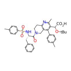 Cc1ccc(-c2c3c(nc(C)c2C(OC(C)(C)C)C(=O)O)CCN(C(=O)[C@H](Cc2ccccc2)NS(=O)(=O)c2ccc(C)cc2)C3)cc1